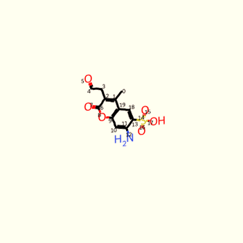 Cc1c(CC=O)c(=O)oc2cc(N)c(S(=O)(=O)O)cc12